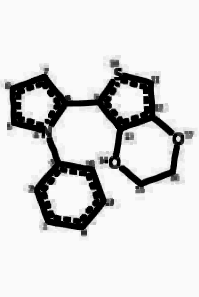 c1ccc(-n2cccc2-c2scc3c2OCCO3)cc1